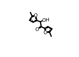 Cc1ccc(C(=O)C(O)c2ccc(C)o2)o1